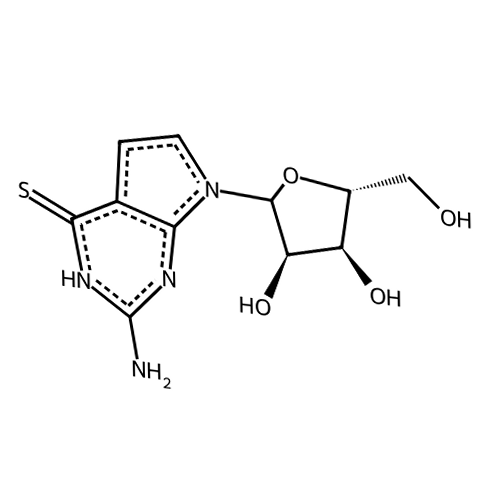 Nc1nc2c(ccn2C2O[C@H](CO)[C@@H](O)[C@H]2O)c(=S)[nH]1